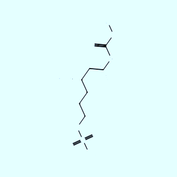 CC(C)(C)OC(=O)N[C@@H](C[C@H](CCCOS(C)(=O)=O)C(=O)O)C(=O)O